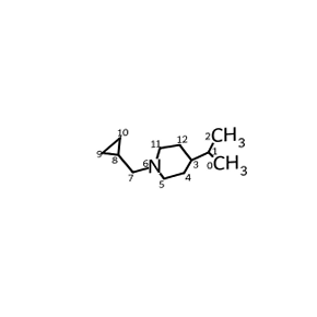 CC(C)C1CCN(CC2CC2)CC1